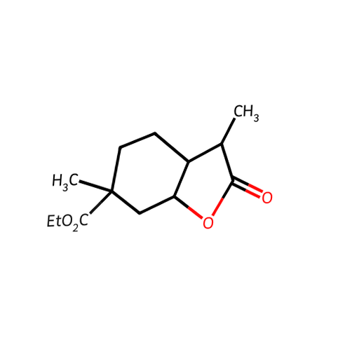 CCOC(=O)C1(C)CCC2C(C1)OC(=O)C2C